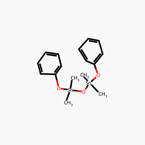 [CH3][Sn]([CH3])([O]c1ccccc1)[O][Sn]([CH3])([CH3])[O]c1ccccc1